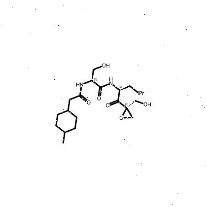 CC(C)C[C@H](NC(=O)[C@H](CO)NC(=O)CC1CCC(C)CC1)C(=O)[C@@]1(CO)CO1